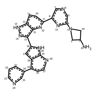 NC1CN(c2cncc(-c3ccc4[nH]nc(-c5cc6c(-c7cccnc7)ccnc6[nH]5)c4n3)n2)C1